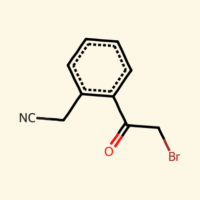 N#CCc1ccccc1C(=O)CBr